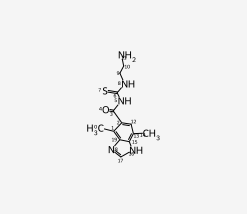 Cc1c(C(=O)NC(=S)NCCN)cc(C)c2[nH]cnc12